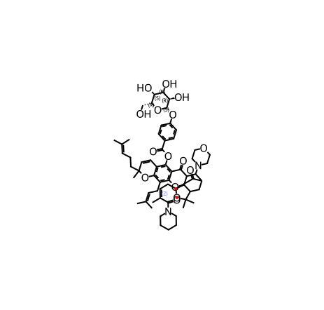 CC(C)=CCCC1(C)C=Cc2c(c(CC=C(C)C)c3c(c2OC(=O)c2ccc(O[C@@H]4O[C@H](CO)[C@@H](O)[C@@H](O)[C@H]4O)cc2)C(=O)C2C(N4CCOCC4)C4CC5C(C)(C)OC(C/C=C(/C)C(=O)N6CCCCC6)(C4=O)C25O3)O1